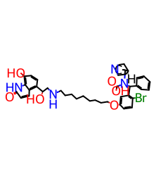 O=C(O)N(C(c1ccccc1)c1cc(OCCCCCCCCCNC[C@@H](O)c2ccc(O)c3[nH]c(=O)ccc23)ccc1Br)[C@H]1CN2CCC1CC2